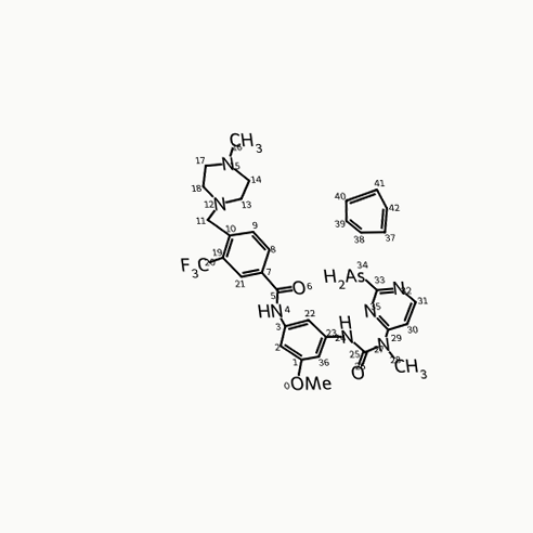 COc1cc(NC(=O)c2ccc(CN3CCN(C)CC3)c(C(F)(F)F)c2)cc(NC(=O)N(C)c2ccnc([AsH2])n2)c1.c1ccccc1